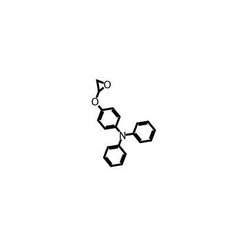 c1ccc(N(c2ccccc2)c2ccc(OC3CO3)cc2)cc1